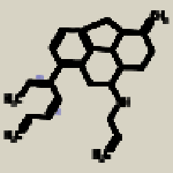 C=C/C=C\C(=C/C)c1ccc2c3c1CC(NCC=C)C1CCC(=C)C(C2)C31